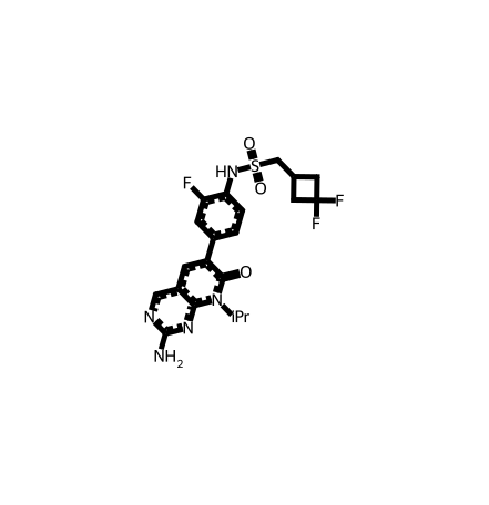 CC(C)n1c(=O)c(-c2ccc(NS(=O)(=O)CC3CC(F)(F)C3)c(F)c2)cc2cnc(N)nc21